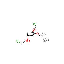 CCCCC(CC)COc1cc(OCCCl)ccc1OCCCl